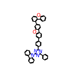 c1ccc(-c2nc(-c3ccc(-c4ccc5c(c4)oc4cc(-c6cccc7oc8ccccc8c67)ccc45)cc3)nc(-n3c4ccccc4c4ccccc43)n2)cc1